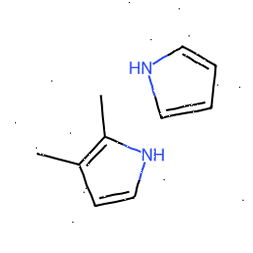 Cc1cc[nH]c1C.c1cc[nH]c1